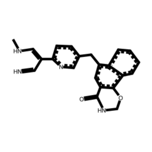 CN/C=C(\C=N)c1ccc(Cc2cc3c(c4ccccc24)OCNC3=O)cn1